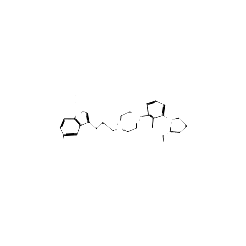 Cc1c(N2CCN(CCCc3c[nH]c4ccc(F)cc34)CC2)cccc1N1CCC[C@H]1CO